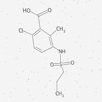 CCCS(=O)(=O)Nc1ccc(Cl)c(C(=O)O)c1C